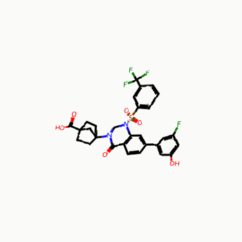 O=C1c2ccc(-c3cc(O)cc(F)c3)cc2N(S(=O)(=O)c2cccc(C(F)(F)F)c2)CN1C12CCC(C(=O)O)(CC1)C2